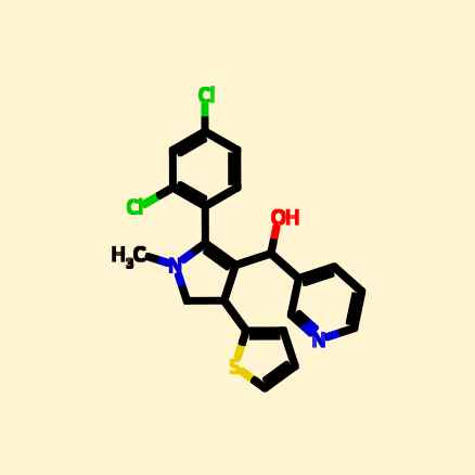 CN1CC(c2cccs2)C(C(O)c2cccnc2)=C1c1ccc(Cl)cc1Cl